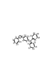 c1ccc(Oc2ccc(C(c3ccccc3)c3ccccc3)cc2)cc1